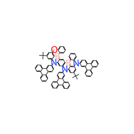 CC(C)(C)c1cc2c3c(c1)N(c1ccc4c5ccccc5c5ccccc5c4c1)c1cc4c(cc1B3c1ccccc1O2)B1c2ccccc2N(c2ccc3c5ccccc5c5ccccc5c3c2)c2cc(C(C)(C)C)cc(c21)N4c1ccc2c3ccccc3c3ccccc3c2c1